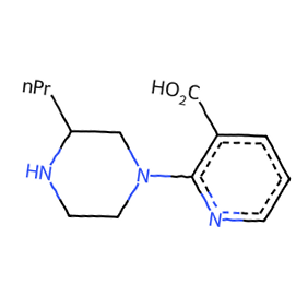 CCCC1CN(c2ncccc2C(=O)O)CCN1